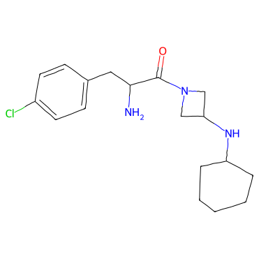 NC(Cc1ccc(Cl)cc1)C(=O)N1CC(NC2CCCCC2)C1